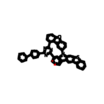 c1ccc(-c2ccc(-c3nc(-c4ccccc4)nc(-c4cccc5oc6ccc(-n7c8ccccc8c8cc9c(cc87)sc7ccccc79)cc6c45)n3)cc2)cc1